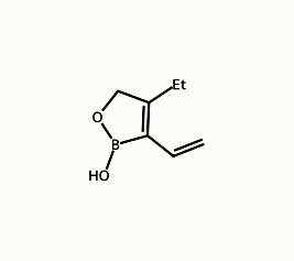 C=CC1=C(CC)COB1O